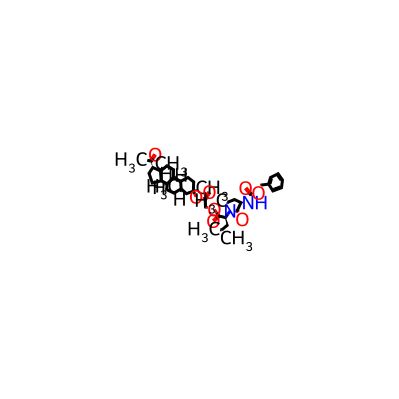 CC(=O)[C@H]1CC[C@H]2[C@@H]3CC[C@H]4C[C@](C)(OC(=O)COC(=O)[C@H](CC(C)C)N5C(=O)[C@@H](NC(=O)OCc6ccccc6)CC5C)CC[C@]4(C)[C@H]3CC[C@]12C